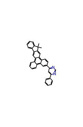 CC1(C)c2ccccc2-c2cc3c4ccccc4c4cc(-c5cc(-c6ccccc6)ncn5)ccc4c3cc21